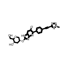 Cn1nnc(C#Cc2ccc(-c3nc4nc(O[C@H]5COC(CO)[C@@H](O)C5)[nH]c4cc3Cl)cc2)n1